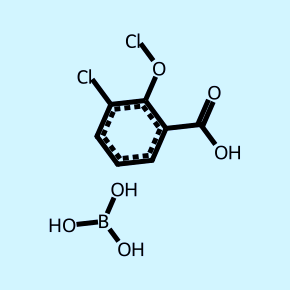 O=C(O)c1cccc(Cl)c1OCl.OB(O)O